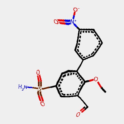 COc1c(C=O)cc(S(N)(=O)=O)cc1-c1cccc([N+](=O)[O-])c1